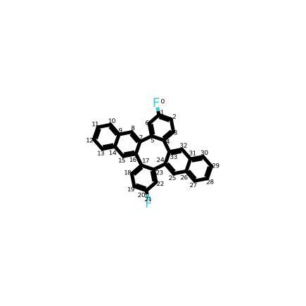 Fc1ccc2c(c1)-c1cc3ccccc3cc1-c1ccc(F)cc1-c1cc3ccccc3cc1-2